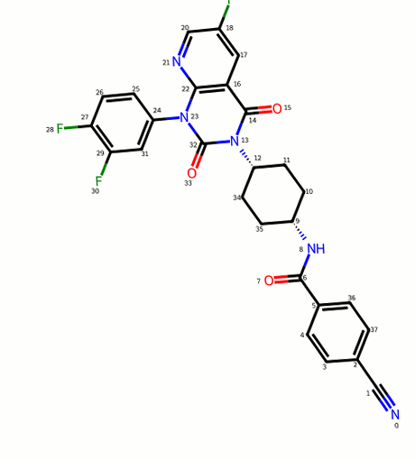 N#Cc1ccc(C(=O)N[C@H]2CC[C@@H](n3c(=O)c4cc(F)cnc4n(-c4ccc(F)c(F)c4)c3=O)CC2)cc1